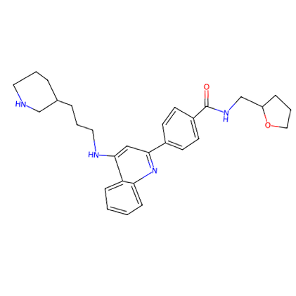 O=C(NCC1CCCO1)c1ccc(-c2cc(NCCCC3CCCNC3)c3ccccc3n2)cc1